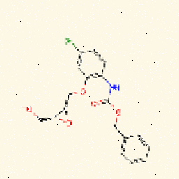 O=C(Nc1ccc(Br)cc1OC[C@H]1O[C@H]1CO)OCc1ccccc1